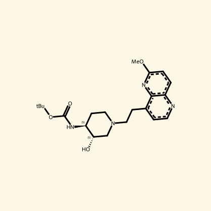 COc1ccc2nccc(CCN3CC[C@H](NC(=O)OC(C)(C)C)[C@@H](O)C3)c2n1